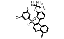 NC(N)(N)Oc1cccc(-c2c(S(=O)(=O)c3cc(Cl)cc(Cl)c3)cnc3c(F)cccc23)c1